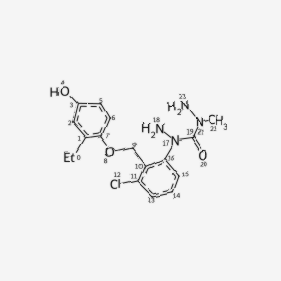 CCc1cc(O)ccc1OCc1c(Cl)cccc1N(N)C(=O)N(C)N